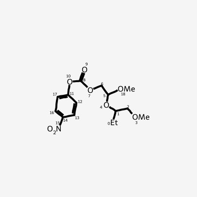 CCC(COC)OC(COC(=O)Oc1ccc([N+](=O)[O-])cc1)OC